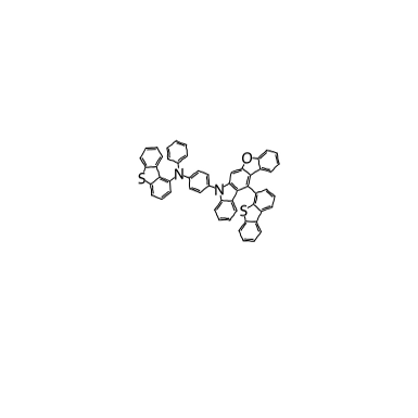 c1ccc(N(c2ccc(-n3c4ccccc4c4c(-c5cccc6c5sc5ccccc56)c5c(cc43)oc3ccccc35)cc2)c2cccc3sc4ccccc4c23)cc1